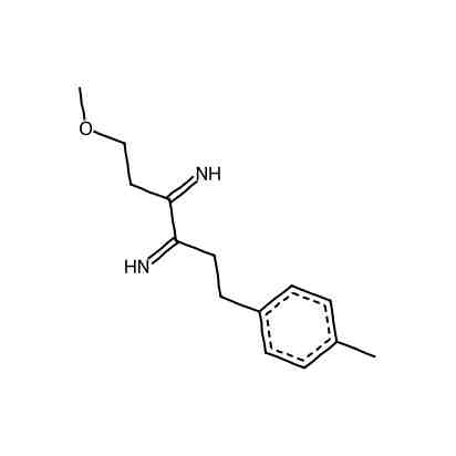 COCCC(=N)C(=N)CCc1ccc(C)cc1